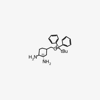 CC(C)(C)[Si](OCC1CCC(N)[C@@H](N)C1)(c1ccccc1)c1ccccc1